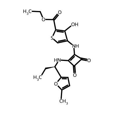 CCOC(=O)c1scc(Nc2c(N[C@H](CC)c3ccc(C)o3)c(=O)c2=O)c1O